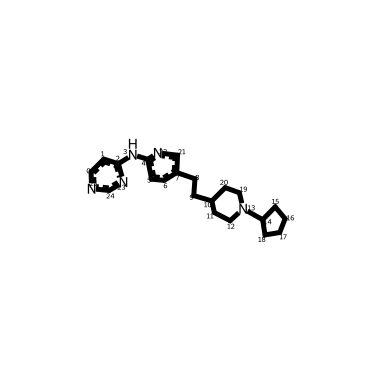 c1cc(Nc2ccc(CCC3CCN(C4CCCC4)CC3)cn2)ncn1